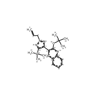 C=CCn1nc(-c2nc3ccccc3nc2OC(C)(C)C)c([Si](C)(C)C)n1